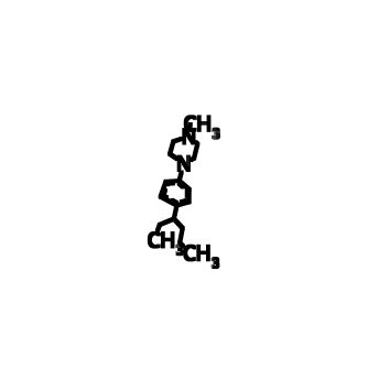 CCCC(CC)c1ccc(N2CCN(C)CC2)cc1